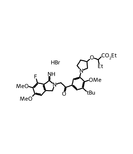 Br.CCOC(=O)C(CC)OC1CCN(c2cc(C(=O)CN3Cc4cc(OC)c(OC)c(F)c4C3=N)cc(C(C)(C)C)c2OC)C1